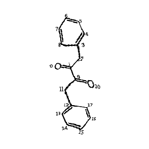 O=C([CH]c1ccccc1)C(=O)[CH]c1ccccc1